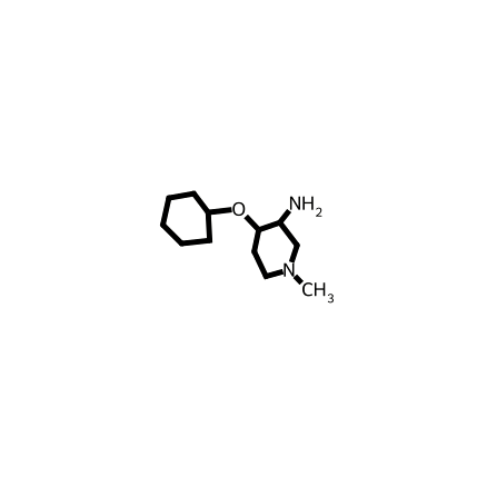 CN1CCC(OC2CCCCC2)C(N)C1